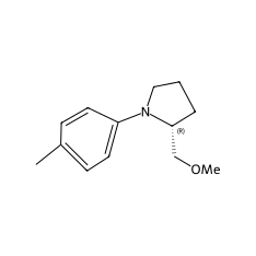 COC[C@H]1CCCN1c1ccc(C)cc1